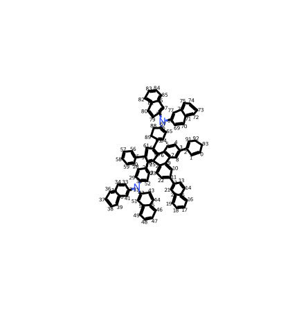 C1=CC(c2ccc3c(c2)c2cc(-c4ccc5ccccc5c4)ccc2c2c(-c4ccc(N(c5ccc6ccccc6c5)c5ccc6ccccc6c5)cc4)c(-c4ccccc4)cc(C4=CC=C(N(c5ccc6ccccc6c5)c5ccc6ccccc6c5)CC4)c32)=CCC1